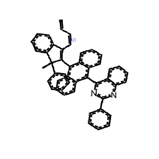 C=C/C=C\C1=C(c2c3ccccc3c(-c3nc(-c4ccccc4)nc4ccccc34)c3ccccc23)C(C)(c2ccccc2)c2ccccc21